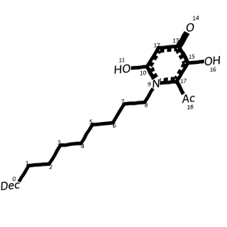 CCCCCCCCCCCCCCCCCCn1c(O)cc(=O)c(O)c1C(C)=O